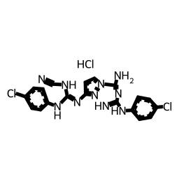 Cl.N#CNC(=Nc1ccn(C(N)=NC(=N)Nc2ccc(Cl)cc2)n1)Nc1ccc(Cl)cc1